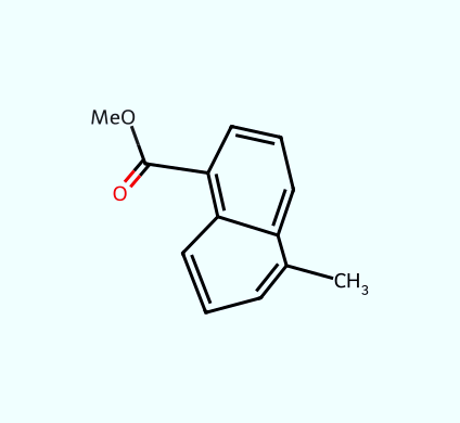 COC(=O)c1cccc2c(C)cccc12